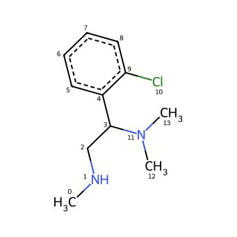 CNCC(c1ccccc1Cl)N(C)C